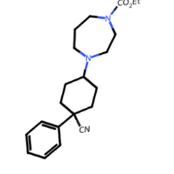 CCOC(=O)N1CCCN(C2CCC(C#N)(c3ccccc3)CC2)CC1